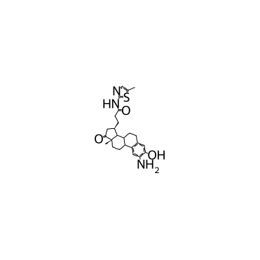 Cc1cnc(NC(=O)CC[C@@H]2CC(=O)[C@@]3(C)CCC4c5cc(N)c(O)cc5CCC4C23)s1